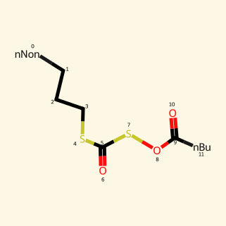 CCCCCCCCCCCCSC(=O)SOC(=O)CCCC